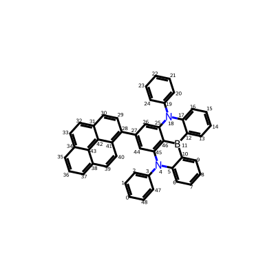 c1ccc(N2c3ccccc3B3c4ccccc4N(c4ccccc4)c4cc(-c5ccc6ccc7cccc8ccc5c6c78)cc2c43)cc1